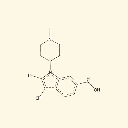 CN1CCC(n2c(Cl)c(Cl)c3ccc(NO)cc32)CC1